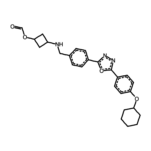 O=COC1CC(NCc2ccc(-c3nnc(-c4ccc(OC5CCCCC5)cc4)o3)cc2)C1